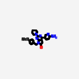 COc1ccc(CN2C(=O)Cc3c(-c4ccc(N)nc4)nc(N4CCCCC4)nc32)cc1